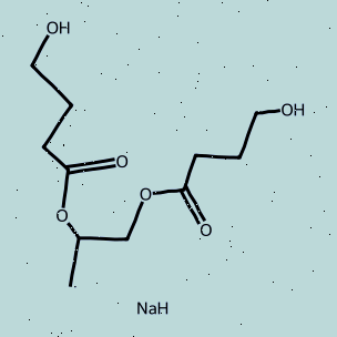 [CH2]C(COC(=O)CCCO)OC(=O)CCCO.[NaH]